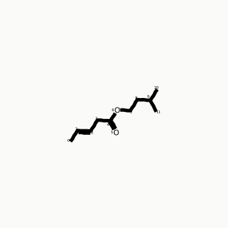 CC=CCC(=O)OCCC(C)C